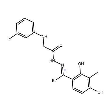 CC/C(=N\NC(=O)CNc1cccc(C)c1)c1ccc(O)c(C)c1O